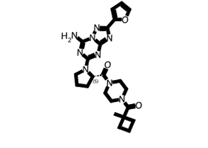 CC1(C(=O)N2CCN(C(=O)[C@@H]3CCCN3c3nc(N)n4nc(-c5ccco5)nc4n3)CC2)CCC1